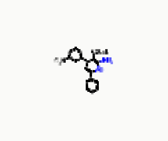 CCOC(=O)C1=C(N)NC(c2ccccc2)=CC1c1cccc([N+](=O)[O-])c1